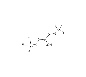 CC(C)(C)CCC(O)CCC(C)(C)C